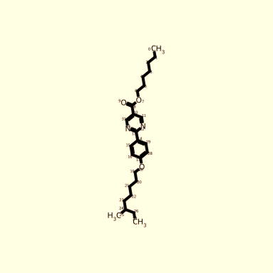 CCCCCCCOC(=O)c1cnc(-c2ccc(OCCCCCC(C)CC)cc2)nc1